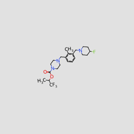 Cc1c(CN2CCC(F)CC2)cccc1CN1CCN(C(=O)OC(C)C(F)(F)F)CC1